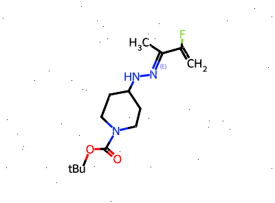 C=C(F)/C(C)=N/NC1CCN(C(=O)OC(C)(C)C)CC1